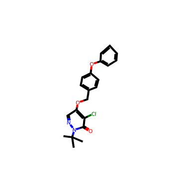 CC(C)(C)n1ncc(OCc2ccc(Oc3ccccc3)cc2)c(Cl)c1=O